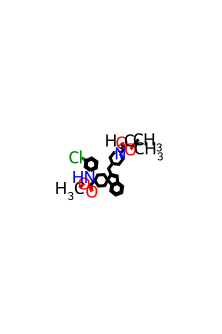 COC(=O)C1(Nc2cccc(Cl)c2)CCC2(CC1)C(CC1CCN(C(=O)OC(C)(C)C)CC1)=Cc1ccccc12